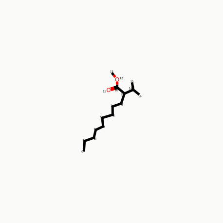 CCCCCCCCCC(C(=O)OC)C(C)C